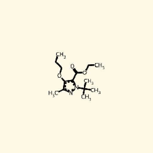 CCCOc1c(C)nn(C(C)(C)C)c1C(=O)OCC